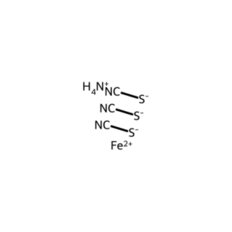 N#C[S-].N#C[S-].N#C[S-].[Fe+2].[NH4+]